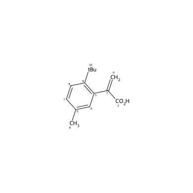 C=C(C(=O)O)c1cc(C)ccc1C(C)(C)C